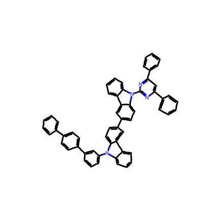 c1ccc(-c2ccc(-c3cccc(-n4c5ccccc5c5cc(-c6ccc7c(c6)c6ccccc6n7-c6nc(-c7ccccc7)cc(-c7ccccc7)n6)ccc54)c3)cc2)cc1